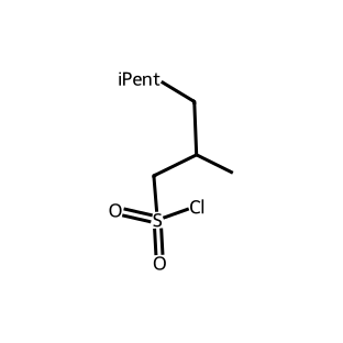 CCCC(C)CC(C)CS(=O)(=O)Cl